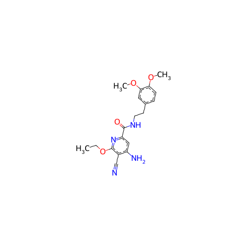 CCOc1nc(C(=O)NCCc2ccc(OC)c(OC)c2)cc(N)c1C#N